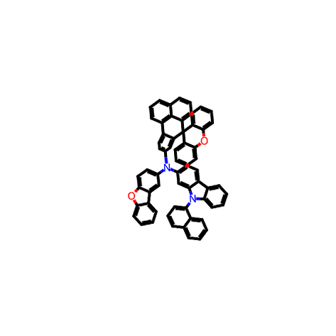 c1ccc2c(c1)Oc1ccccc1C21c2cc(N(c3ccc4oc5ccccc5c4c3)c3ccc4c5ccccc5n(-c5cccc6ccccc56)c4c3)ccc2-c2cccc3cccc1c23